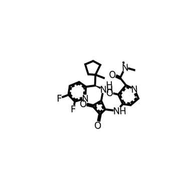 CN(C)C(=O)c1nccc(Nc2c(N[C@@H](c3ccc(F)c(F)n3)C3(C)CCCC3)c(=O)c2=O)c1O